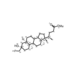 COC(=O)CC[C@@H](C)[C@@]1(I)CCC2C3CC[C@@H]4C[C@](O)(CF)CC[C@]4(C)C3CC[C@@]21C